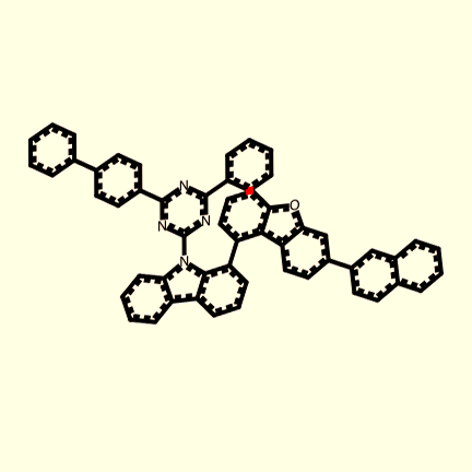 c1ccc(-c2ccc(-c3nc(-c4ccccc4)nc(-n4c5ccccc5c5cccc(-c6cccc7oc8cc(-c9ccc%10ccccc%10c9)ccc8c67)c54)n3)cc2)cc1